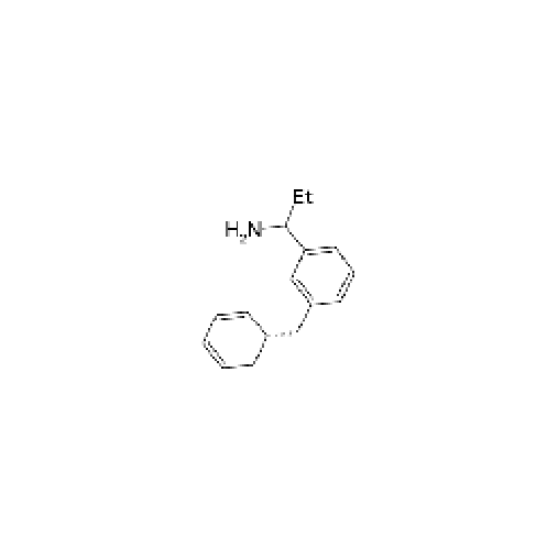 CCC(N)c1cccc(C[C@H]2C=CC=CC2)c1